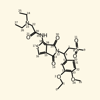 CCOc1cc(C(CS(C)(=O)=O)N2C(=O)c3csc(NC(=O)CN(CC)CC)c3C2=O)ccc1OC